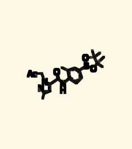 CC(=O)Cn1nc(C)cc1C(=O)Nc1ccc(B2OC(C)(C)C(C)(C)O2)cc1C